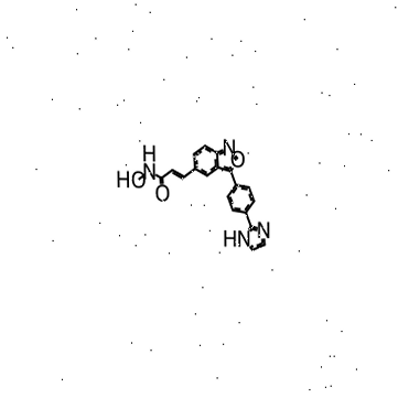 O=C(/C=C/c1ccc2noc(-c3ccc(-c4ncc[nH]4)cc3)c2c1)NO